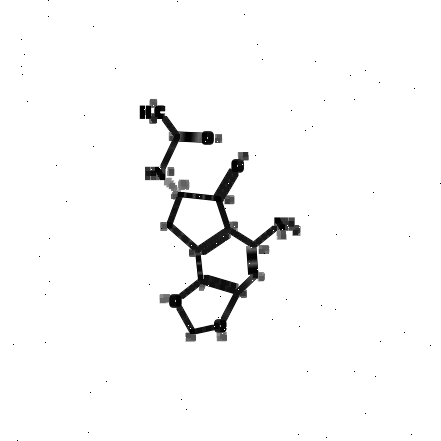 CC(=O)N[C@H]1Cc2c3c(cc(N)c2C1=O)OCO3